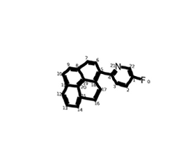 Fc1ccc(-c2ccc3ccc4cccc5ccc2c3c45)nc1